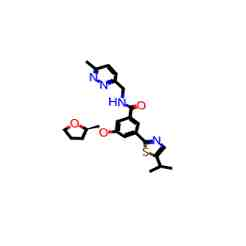 Cc1ccc(CNC(=O)c2cc(OC[C@H]3CCCO3)cc(-c3ncc(C(C)C)s3)c2)nn1